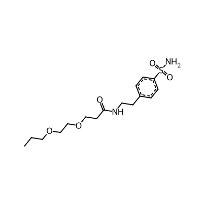 CCCOCCOCCC(=O)NCCc1ccc(S(N)(=O)=O)cc1